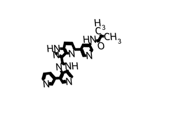 CC(C)C(=O)Nc1cncc(-c2ccc3[nH]nc(-c4nc5c(-c6cccnc6)cncc5[nH]4)c3n2)c1